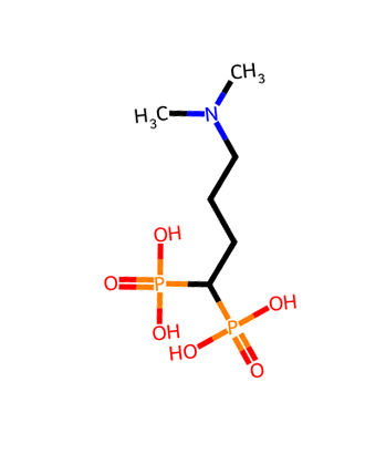 CN(C)CCCC(P(=O)(O)O)P(=O)(O)O